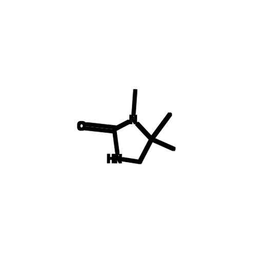 CN1C(=O)NCC1(C)C